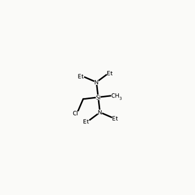 CCN(CC)[Si](C)(CCl)N(CC)CC